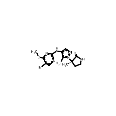 COc1nc(Nc2cnn([C@]3(C)CCNC3=O)c2C)ncc1Br